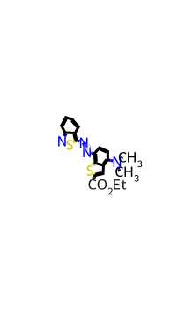 CCOC(=O)c1cc2c(N(C)C)ccc(/N=N/c3snc4ccccc34)c2s1